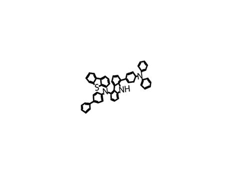 C1=CC(N(c2ccccc2)c2ccccc2)CC=C1c1cccc2c1[nH]c1cccc(N(c3ccc(-c4ccccc4)cc3)c3cccc4c3sc3ccccc34)c12